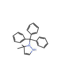 CC1(C)C=CNN1C(c1ccccc1)(c1ccccc1)c1ccccc1